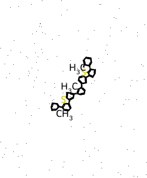 Cc1ccccc1-c1cccc2c1sc1ccc(-c3cccc(-c4ccc5sc6c(-c7ccccc7C)cccc6c5c4)c3C)cc12